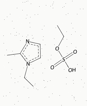 CCOS(=O)(=O)O.CCn1ccnc1C